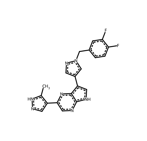 Cc1[nH]ncc1-c1cnc2[nH]cc(-c3cnn(Cc4ccc(F)c(F)c4)c3)c2n1